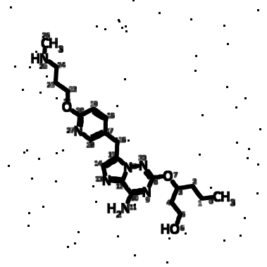 CCCC(CCO)Oc1nc(N)c2ncc(Cc3ccc(OCCCNC)nc3)n2n1